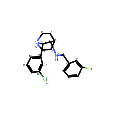 Fc1cccc(CNC2C3CCN(CC3)C2c2cccc(Cl)c2)c1